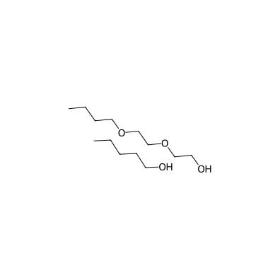 CCCCCO.CCCCOCCOCCO